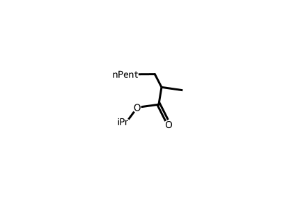 CCCCCCC(C)C(=O)OC(C)C